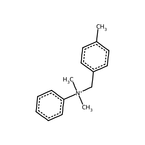 Cc1ccc(C[N+](C)(C)c2ccccc2)cc1